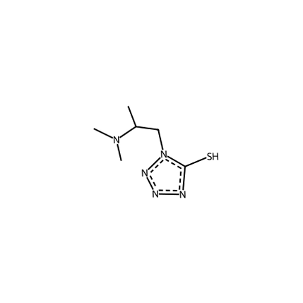 CC(Cn1nnnc1S)N(C)C